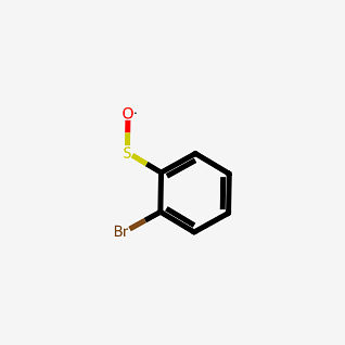 [O]Sc1ccccc1Br